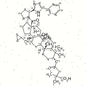 CC(C)(CC(=O)O[C@H]1CC[C@]2(C)[C@H]3CC[C@@H]4[C@H]5[C@H](C6(C)CC6)CC[C@]5(C(=O)N5CCC[C@H]5c5ncc(-c6ccccc6)[nH]5)CC[C@@]4(C)[C@]3(C)CC[C@H]2C1(C)C)C(=O)O